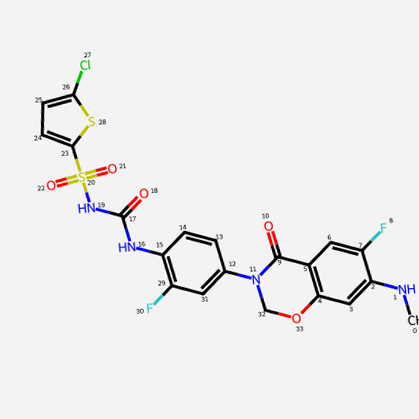 CNc1cc2c(cc1F)C(=O)N(c1ccc(NC(=O)NS(=O)(=O)c3ccc(Cl)s3)c(F)c1)CO2